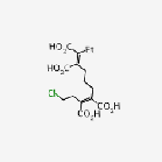 CCC(C(=O)O)=C(CCCC(C(=O)O)=C(CCCl)C(=O)O)C(=O)O